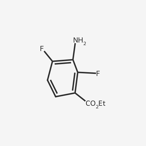 CCOC(=O)c1ccc(F)c(N)c1F